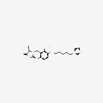 COc1c(OCCCCCn2ccnc2)ccc2c1CN1C(=N2)NC(=O)C1CO